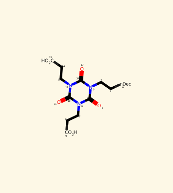 CCCCCCCCCCCCn1c(=O)n(CCC(=O)O)c(=O)n(CCC(=O)O)c1=O